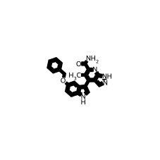 Cc1c(C(N)=O)nc2[nH]ncc2c1-c1c[nH]c2ccc(OCc3ccccc3)cc12